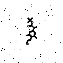 Cc1cc(N(C)C(=O)OC(C)(C)C)cc(C)c1/C=C/S